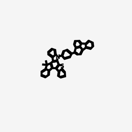 CC1(C)c2ccccc2-c2c1c1c3ccccc3n(-c3ccc(-c4ccc5c6c(cccc46)-c4ccccc4-5)cc3)c1c1sc3ccccc3c21